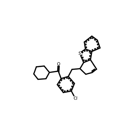 O=C(c1ccc(Cl)cc1CC1CC=Cc2c1sc1ccccc21)C1CCCCC1